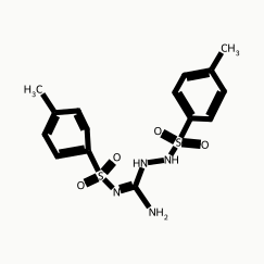 Cc1ccc(S(=O)(=O)N=C(N)NNS(=O)(=O)c2ccc(C)cc2)cc1